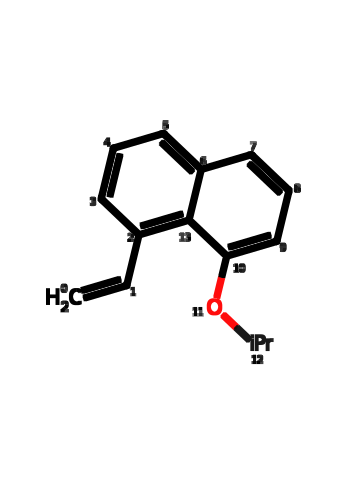 C=Cc1cccc2cccc(OC(C)C)c12